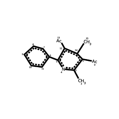 CC(=O)c1c(C)nc(-c2ccccc2)c(C(C)=O)c1C